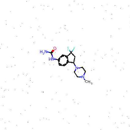 CN1CCN(C2CC(F)(F)c3cc(NC(N)=O)ccc32)CC1